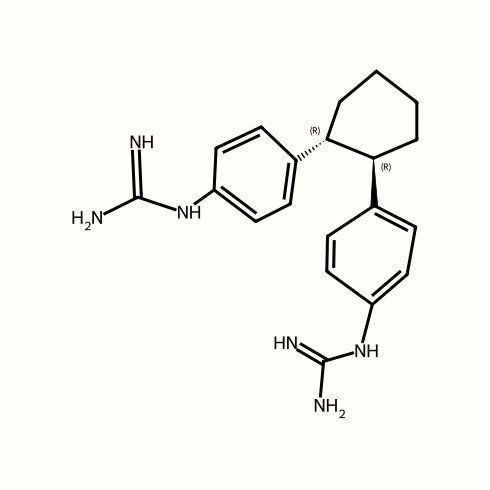 N=C(N)Nc1ccc([C@@H]2CCCC[C@H]2c2ccc(NC(=N)N)cc2)cc1